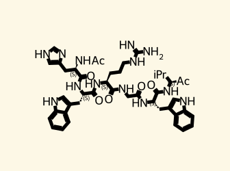 CC(=O)N[C@@H](Cc1c[nH]cn1)C(=O)N[C@@H](Cc1c[nH]c2ccccc12)C(=O)N[C@@H](CCCNC(=N)N)C(=O)NCC(=O)N[C@@H](Cc1c[nH]c2ccccc12)C(=O)N[C@H](C(C)=O)C(C)C